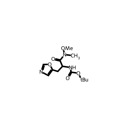 CON(C)C(=O)C(Cc1cnco1)NC(=O)OC(C)(C)C